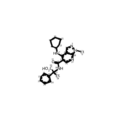 CCn1ncc2c(NC3CCCCC3)c(C(=O)NC(CC)(C(=O)O)c3ccccc3)cnc21